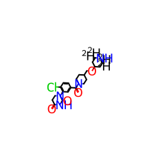 [2H]C1([2H])CC(OCC2CCN(C(=O)c3ccc(Cl)c(N4CCC(=O)NC4=O)c3)CC2)CC([2H])([2H])N1